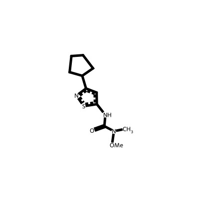 CON(C)C(=O)Nc1cc(C2CCCC2)ns1